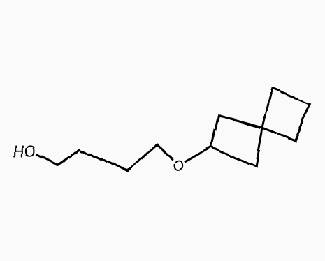 OCCCCOC1CC2(CCC2)C1